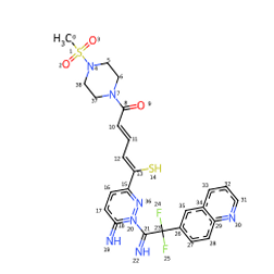 CS(=O)(=O)N1CCN(C(=O)/C=C/C=C(\S)c2ccc(=N)n(C(=N)C(F)(F)c3ccc4ncccc4c3)n2)CC1